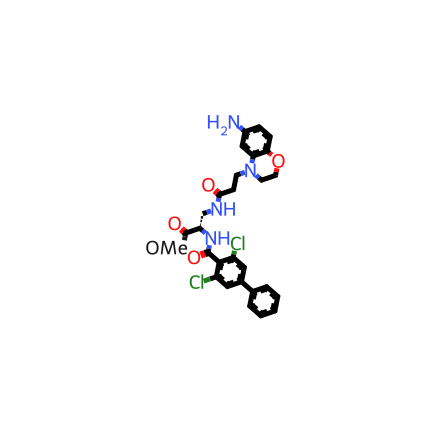 COC(=O)[C@H](CNC(=O)CCN1CCOc2ccc(N)cc21)NC(=O)c1c(Cl)cc(-c2ccccc2)cc1Cl